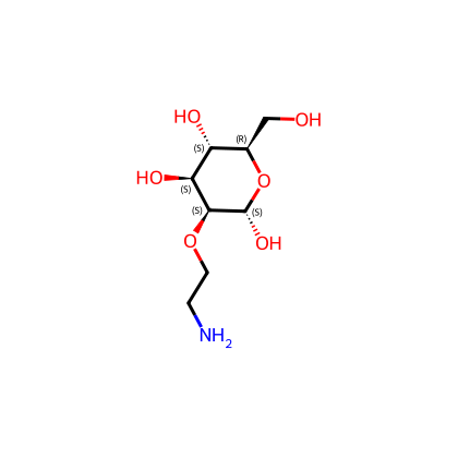 NCCO[C@H]1[C@@H](O)[C@H](O)[C@@H](CO)O[C@@H]1O